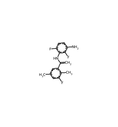 C=C(Nc1c(F)ccc(N)c1F)c1cc(C)cc(F)c1C